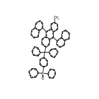 Cc1ccc2c(-c3cccc4ccccc34)c3cc(C(c4ccccc4)(c4ccccc4)c4ccc(P(=O)(c5ccccc5)c5ccccc5)cc4)ccc3c(-c3cccc4ccccc34)c2c1